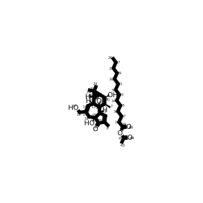 CC1=C[C@H]2[C@@]3(O)[C@H](C)[C@@H](O)[C@]4(O)[C@H]([C@@H]3C=C(CO)C[C@]2(O)C1=O)C4(C)C.CCCCCCCCCCCCCC(=O)OC(C)=O